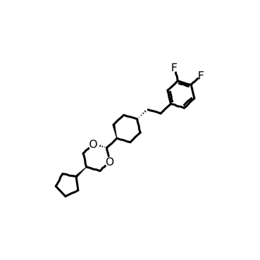 Fc1ccc(CC[C@H]2CC[C@H]([C@H]3OC[C@H](C4CCCC4)CO3)CC2)cc1F